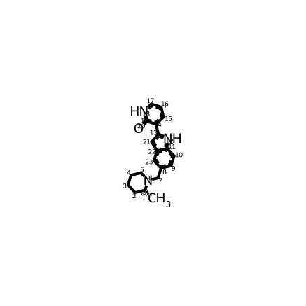 C[C@H]1CCCCN1Cc1ccc2[nH]c(-c3c[c]c[nH]c3=O)cc2c1